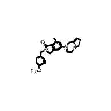 Cc1cc(N2CCN3CCC=C3C2)cc2c1C(=O)N(Cc1ccc(OC(F)(F)F)cc1)C2